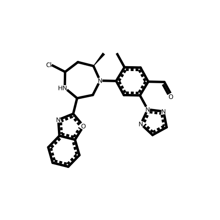 Cc1cc(C=O)c(-n2nccn2)cc1N1CC(c2nc3ccccc3o2)NC(Cl)C[C@H]1C